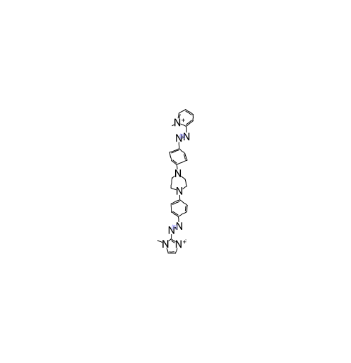 Cn1cc[n+](C)c1/N=N/c1ccc(N2CCN(c3ccc(/N=N/c4cccc[n+]4C)cc3)CC2)cc1